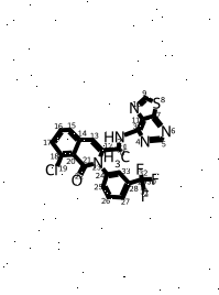 C[C@H](Nc1ncnc2scnc12)c1cc2cccc(Cl)c2c(=O)n1-c1cccc(C(F)(F)F)c1